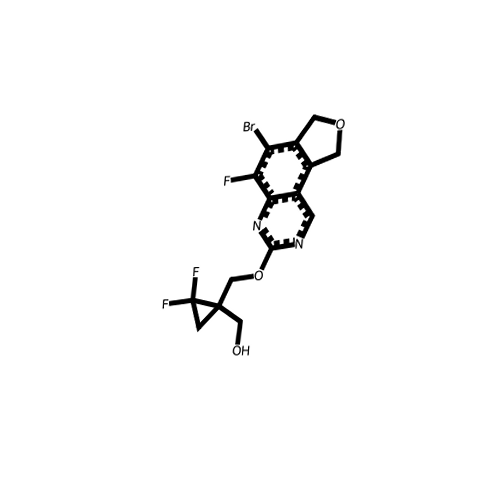 OCC1(COc2ncc3c4c(c(Br)c(F)c3n2)COC4)CC1(F)F